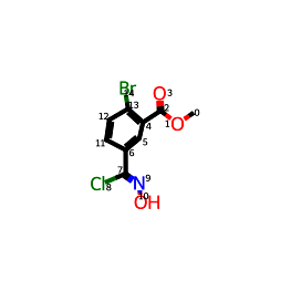 COC(=O)c1cc(/C(Cl)=N/O)ccc1Br